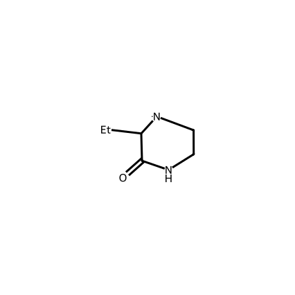 CCC1[N]CCNC1=O